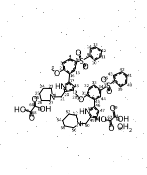 COc1ccc(S(=O)(=O)c2ccccc2)cc1-c1ccc(CN2CCCCC2)[nH]1.COc1ccc(S(=O)(=O)c2ccccc2)cc1-c1ccc(CN2CCCCC2)[nH]1.O.O=C(O)C(=O)O.O=C(O)C(=O)O